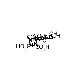 O=C(O)CN1CCN(CC(=O)O)CCN(CC(=O)O)C(c2ccc(NC(=O)/C=C/c3ccc(O)c(O)c3)cc2)CN(CC(=O)O)CC1